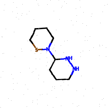 C1CCN([C]2CCCNN2)SC1